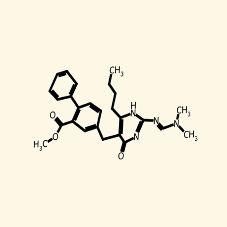 CCCCc1[nH]c(/N=C/N(C)C)nc(=O)c1Cc1ccc(-c2ccccc2)c(C(=O)OC)c1